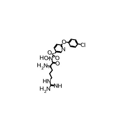 N=C(N)NCCC[C@@H](N)C(=O)N(O)S(=O)(=O)c1ccc(Oc2ccc(Cl)cc2)nc1